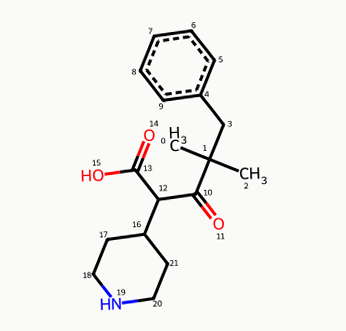 CC(C)(Cc1ccccc1)C(=O)C(C(=O)O)C1CCNCC1